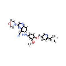 COc1cc(Nc2ccc3ncc(N4CCOCC4)nc3c2C#N)ccc1OCc1ccc(C(C)C)nc1